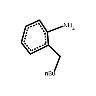 [CH2]CCCCc1ccccc1N